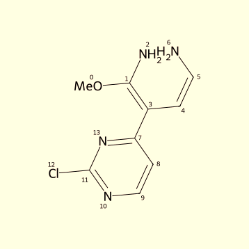 CO/C(N)=C(/C=C\N)c1ccnc(Cl)n1